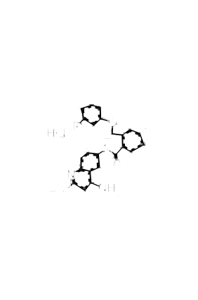 Cc1cc(N)c2cc(NC(=O)c3ccccc3COc3cccc(F)c3)ccc2n1.Cl